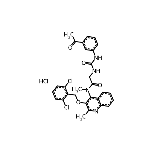 CC(=O)c1cccc(NC(=O)NCC(=O)N(C)c2c(OCc3c(Cl)cccc3Cl)c(C)nc3ccccc23)c1.Cl